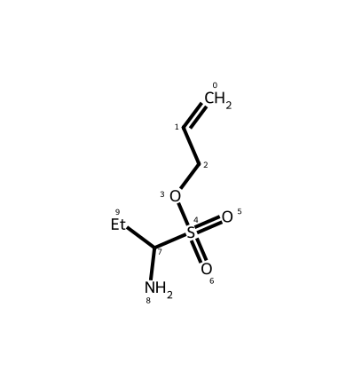 C=CCOS(=O)(=O)C(N)CC